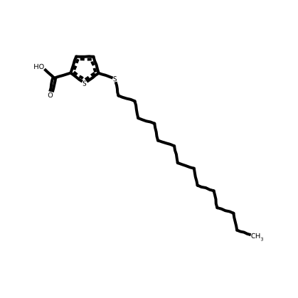 CCCCCCCCCCCCCCSc1ccc(C(=O)O)s1